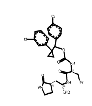 CC(C)C[C@H](NC(=O)OC(c1ccc(Cl)cc1)C1(c2cccc(Cl)c2)CC1)C(=O)N[C@H](C=O)C[C@@H]1CCNC1=O